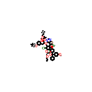 C=CCOC[C@H](COC(c1ccccc1)(c1ccc(OC)cc1)c1ccc(OC)cc1)Oc1c(Cl)c(C)c(-c2c(Br)sc3ncnc(OC(Cc4cc(O[Si](C)(C)C(C)(C)C)ccc4OCOCC[Si](C)(C)C)C(=O)OC(C)(C)C)c23)c(C)c1Cl